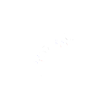 CCC1=C(C)CN(C(=O)NCCc2ccc(S(=O)(=O)NC(=O)N[C@H]3CC[C@@H](C)CC3)cc2)C1=O